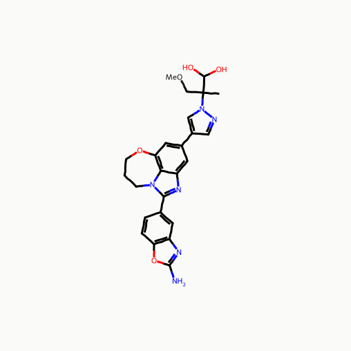 COCC(C)(C(O)O)n1cc(-c2cc3c4c(c2)nc(-c2ccc5oc(N)nc5c2)n4CCCO3)cn1